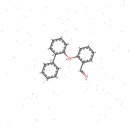 O=Cc1ccccc1Oc1ccccc1-c1ccccc1